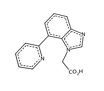 O=C(O)Cn1cnc2cccc(-c3ccccn3)c21